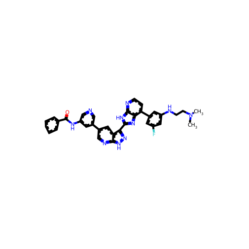 CN(C)CCNc1cc(F)cc(-c2ccnc3[nH]c(-c4n[nH]c5ncc(-c6cncc(NC(=O)c7ccccc7)c6)cc45)nc23)c1